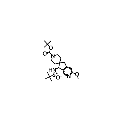 COc1cc2c(cn1)[C@@H](N[S@+]([O-])C(C)(C)C)C1(CCN(C(=O)OC(C)(C)C)CC1)C2